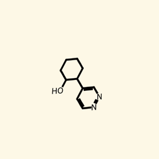 OC1CCCCC1c1ccnnc1